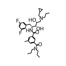 CCCN(CC1CC1)C[C@@H](O)[C@@H](O)[C@H](Cc1cc(F)cc(F)c1)NC(=O)c1cc(C)cc(C(=O)N(CCC)CCC)c1